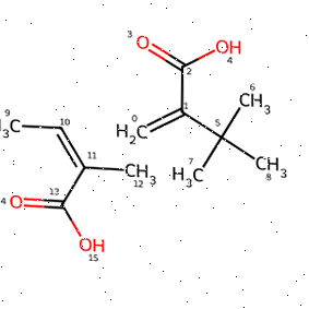 C=C(C(=O)O)C(C)(C)C.CC=C(C)C(=O)O